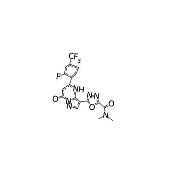 CN(C)C(=O)c1nnc(-c2cnn3c(=O)cc(-c4ccc(C(F)(F)F)cc4F)[nH]c23)o1